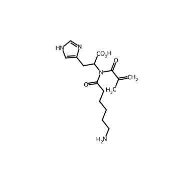 C=C(C)C(=O)N(C(=O)CCCCCN)C(Cc1c[nH]cn1)C(=O)O